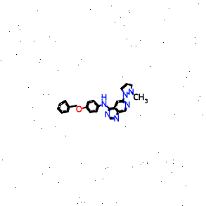 CN1CC=CN1c1cc2c(Nc3ccc(OCc4ccccc4)cc3)ncnc2cn1